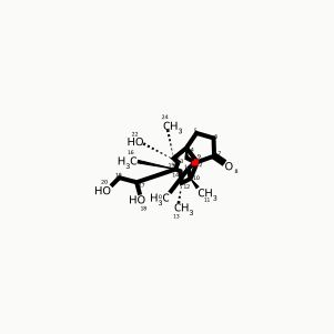 CC1CC[C@@]23CCC(=O)C2[C@]1(C)[C@H](C)C[C@](C)(C(O)CO)[C@@H](O)[C@@H]3C